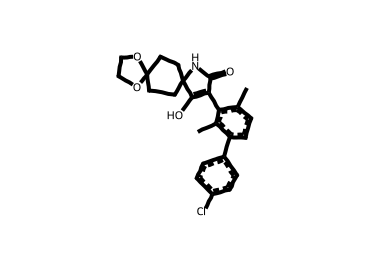 Cc1ccc(-c2ccc(Cl)cc2)c(C)c1C1=C(O)C2(CCC3(CC2)OCCO3)NC1=O